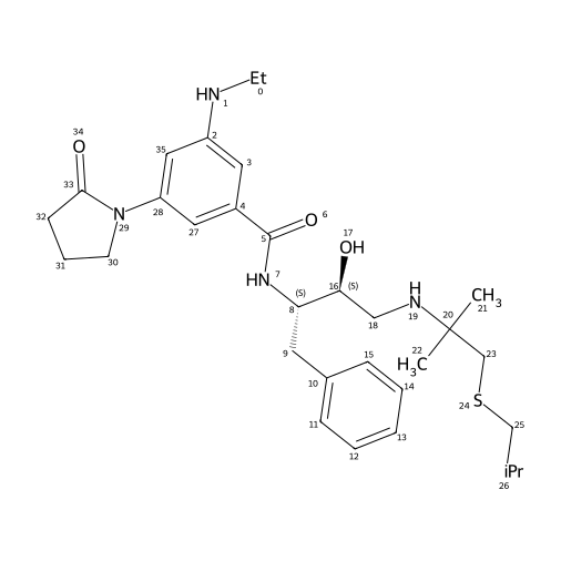 CCNc1cc(C(=O)N[C@@H](Cc2ccccc2)[C@@H](O)CNC(C)(C)CSCC(C)C)cc(N2CCCC2=O)c1